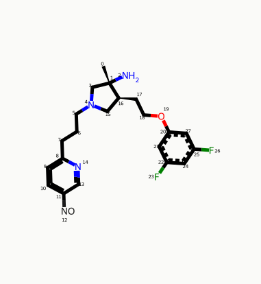 C[C@]1(N)CN(CCCC2=C=C=C(N=O)C=N2)C[C@@H]1CCOc1cc(F)cc(F)c1